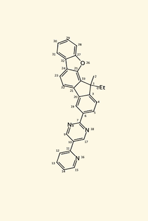 CCC1(C)c2ccc(-c3ncc(-c4ccccn4)cn3)cc2-c2ccc3c(oc4ccccc43)c21